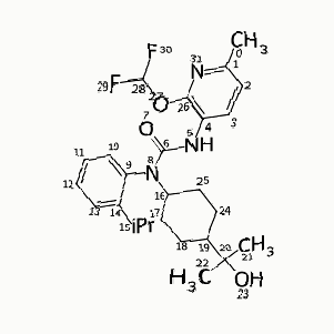 Cc1ccc(NC(=O)N(c2ccccc2C(C)C)C2CCC(C(C)(C)O)CC2)c(OC(F)F)n1